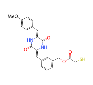 COc1ccc(C=c2[nH]c(=O)c(=Cc3cccc(COC(=O)CS)c3)[nH]c2=O)cc1